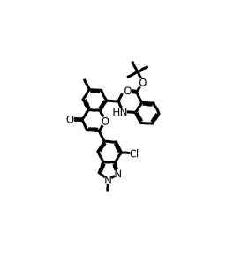 Cc1cc(C(C)Nc2ccccc2C(=O)OC(C)(C)C)c2oc(-c3cc(Cl)c4nn(C)cc4c3)cc(=O)c2c1